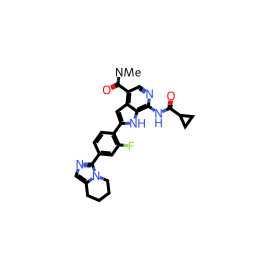 CNC(=O)c1cnc(NC(=O)C2CC2)c2[nH]c(-c3ccc(-c4ncc5n4CCCC5)cc3F)cc12